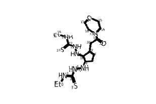 CCNC(=S)NNC1CCC(CC(=O)N2CCOCC2)C1NNC(=S)NCC